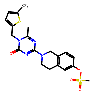 Cc1nc(N2CCc3cc(OS(C)(=O)=O)ccc3C2)nc(=O)n1Cc1ccc(C(F)(F)F)s1